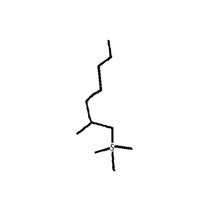 CCCCCC(C)CS(C)(C)C